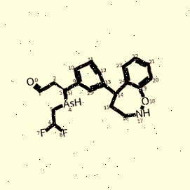 O=CC[C@H]([AsH]CC(F)F)c1cccc(C2CCNOc3ccccc32)c1